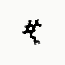 C=C(C)c1cc(CCN)c(C)cc1C